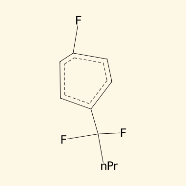 [CH2]CCC(F)(F)c1ccc(F)cc1